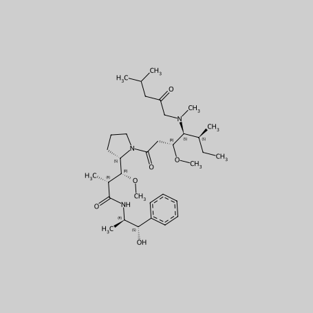 CC[C@H](C)[C@@H]([C@@H](CC(=O)N1CCC[C@H]1[C@H](OC)[C@@H](C)C(=O)N[C@H](C)[C@@H](O)c1ccccc1)OC)N(C)CC(=O)CC(C)C